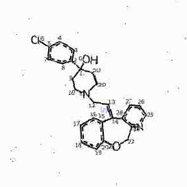 OC1(c2ccc(Cl)cc2)CCN(C/C=C2\c3ccccc3OCc3ncccc32)CC1